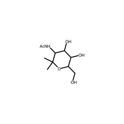 CC(=O)NC1C(O)C(O)C(CO)OC1(C)C